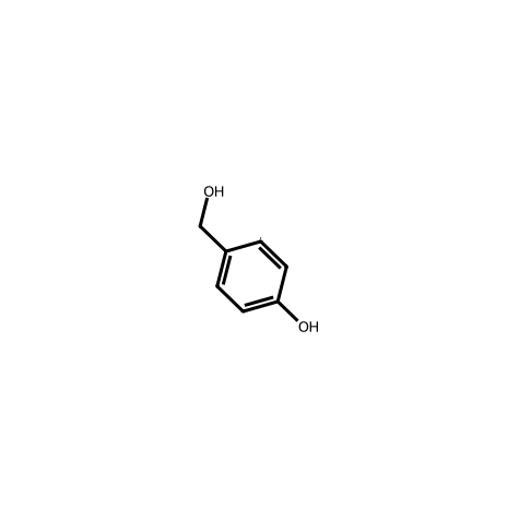 OCc1[c]cc(O)cc1